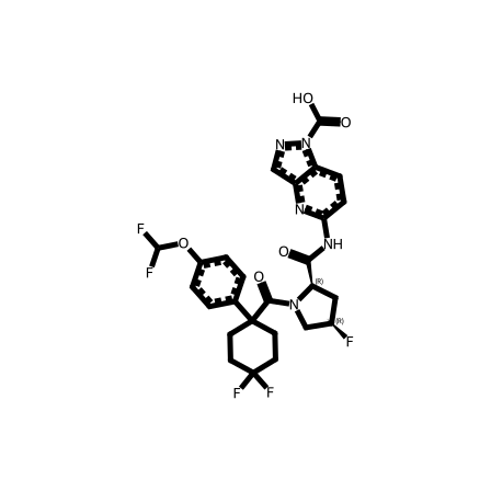 O=C(Nc1ccc2c(cnn2C(=O)O)n1)[C@H]1C[C@@H](F)CN1C(=O)C1(c2ccc(OC(F)F)cc2)CCC(F)(F)CC1